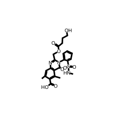 CNS(=O)(=O)c1ccccc1-n1c(COC(=O)CCCO)nc2cc(C)c(C(=O)O)c(C)c2c1=O